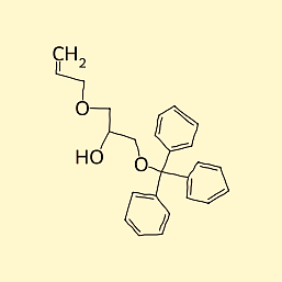 C=CCOCC(O)COC(c1ccccc1)(c1ccccc1)c1ccccc1